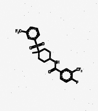 CC1(S(=O)(=O)c2cccc(C(F)(F)F)c2)CCC(NC(=O)c2ccc(F)c(C(F)(F)F)c2)CC1